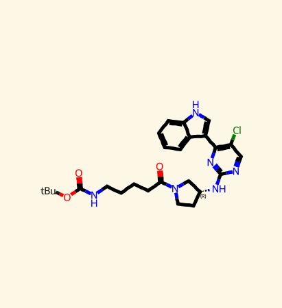 CC(C)(C)OC(=O)NCCCCC(=O)N1CC[C@@H](Nc2ncc(Cl)c(-c3c[nH]c4ccccc34)n2)C1